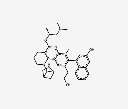 C[C@@H](CN(C)C)Oc1nc2c(F)c(-c3cc(O)cc4ccccc34)c(CCC#N)cc2c2c1CCCN2C1C2CNC1C2